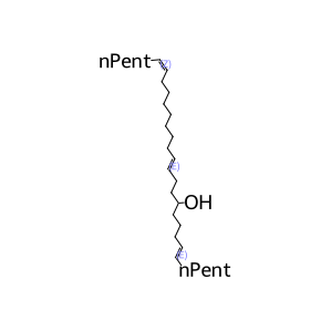 CCCCC/C=C\CCCCCCC/C=C/CCC(O)CCC/C=C/CCCCC